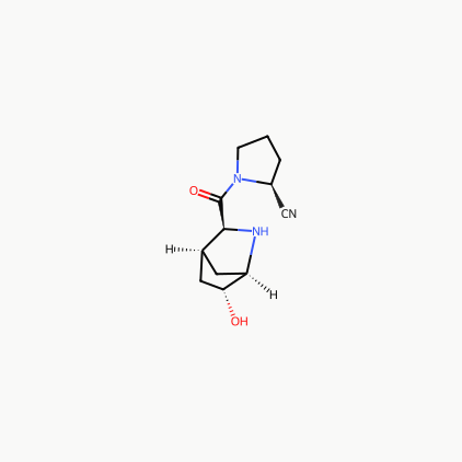 N#C[C@@H]1CCCN1C(=O)[C@H]1N[C@@H]2C[C@H]1C[C@H]2O